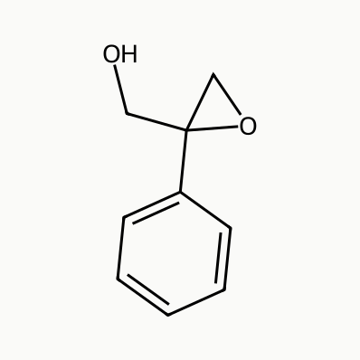 OCC1(c2ccccc2)CO1